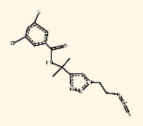 CC(C)(NC(=O)c1cc(Cl)cc(Cl)c1)c1cn(CCN=[N+]=[N-])nn1